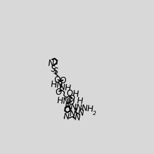 CN(Cc1cnc2nc(N)[nH]c(=N)c2n1)c1ccc(C(=O)N[C@@H](CCC(=O)NNC(=O)OCCSSc2ccccn2)C(=O)O)cc1